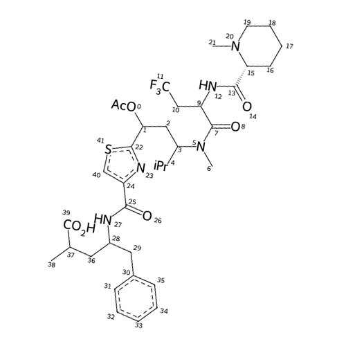 CC(=O)OC(CC(C(C)C)N(C)C(=O)C(CC(F)(F)F)NC(=O)[C@H]1CCCCN1C)c1nc(C(=O)NC(Cc2ccccc2)CC(C)C(=O)O)cs1